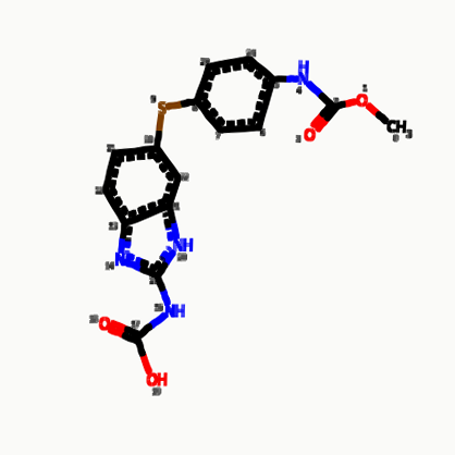 COC(=O)Nc1ccc(Sc2ccc3nc(NC(=O)O)[nH]c3c2)cc1